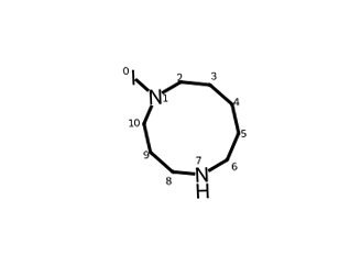 IN1CCCCCNCCC1